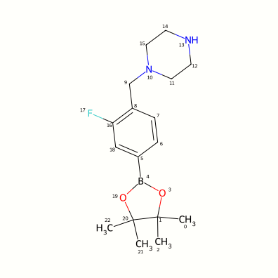 CC1(C)OB(c2ccc(CN3CCNCC3)c(F)c2)OC1(C)C